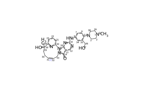 CN1CCN(c2ccc(Nc3ncc4c(=O)n5n(c4n3)-c3cccc(n3)C(C)(O)CC/C=C\C5)cc2CO)CC1